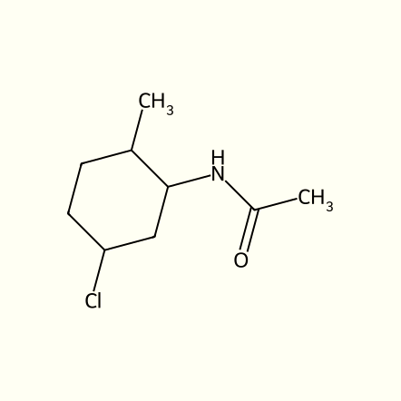 CC(=O)NC1CC(Cl)CCC1C